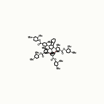 CC(C)(C)c1ccc(OC(=O)c2cc(C(C)(C)C)c(-c3c(-c4c(C(C)(C)C)cc(C(=O)Oc5ccc(C(C)(C)C)cc5C(C)(C)C)cc4C(C)(C)C)c(-c4c(C(C)(C)C)cc(C(=O)Oc5ccc(C(C)(C)C)cc5C(C)(C)C)cc4C(C)(C)C)c4c(c3-c3c(C(C)(C)C)cc(C(=O)Oc5ccc(C(C)(C)C)cc5C(C)(C)C)cc3C(C)(C)C)=c3ccccc3=4)c(C(C)(C)C)c2)c(C(C)(C)C)c1